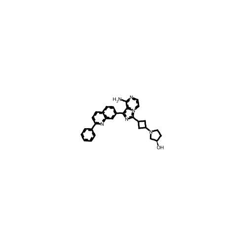 Nc1nccn2c(C3CC(N4CC[C@@H](O)C4)C3)nc(-c3ccc4ccc(-c5ccccc5)nc4c3)c12